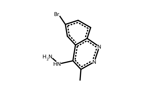 Cc1nnc2ccc(Br)cc2c1NN